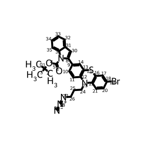 CC(C)(C)OC(=O)n1c(-c2ccc3c(c2)Sc2cc(Br)ccc2N3CCCN=[N+]=[N-])cc2ccccc21